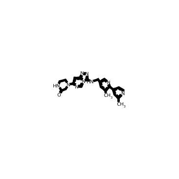 Cc1cc(-c2ncc(CNc3nnc4cc(N5CCNC(=O)C5)ncn34)cc2C)ccn1